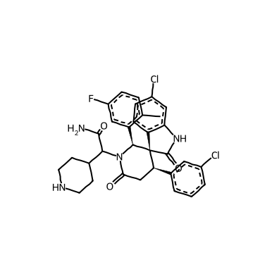 Cc1ccc(F)cc1[C@@H]1N(C(C(N)=O)C2CCNCC2)C(=O)C[C@H](c2cccc(Cl)c2)[C@@]12C(=O)Nc1cc(Cl)ccc12